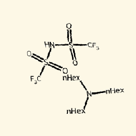 CCCCCCN(CCCCCC)CCCCCC.O=S(=O)(NS(=O)(=O)C(F)(F)F)C(F)(F)F